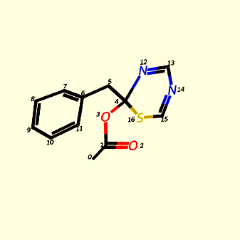 CC(=O)OC1(Cc2ccccc2)N=CN=CS1